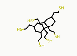 SCCC1CCC(CCS)(C2(CCS)CCC(CCS)CC2CCS)C(CCS)C1